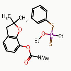 CCOP(=S)(CC)Sc1ccccc1.CNC(=O)Oc1cccc2c1OC(C)(C)C2